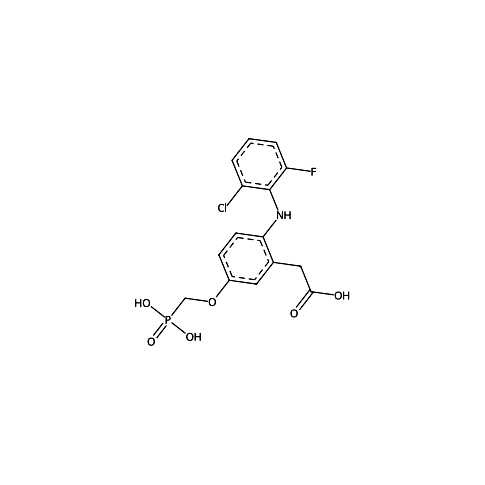 O=C(O)Cc1cc(OCP(=O)(O)O)ccc1Nc1c(F)cccc1Cl